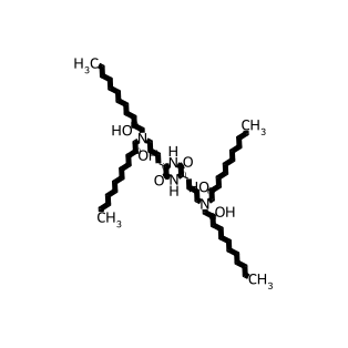 CCCCCCCCCC[C@H](O)CN(CCCC[C@@H]1NC(=O)[C@H](CCCCN(C[C@@H](O)CCCCCCCCCC)C[C@@H](O)CCCCCCCCCC)NC1=O)C[C@@H](O)CCCCCCCCCC